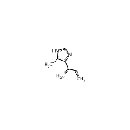 C=CC(=C)c1nc[nH]c1C